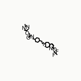 Cc1ncc(OCC(=O)/N=C/C2CCC(CCN3CCc4ccc(OCC(C)(F)F)nc4CC3)CC2)cn1